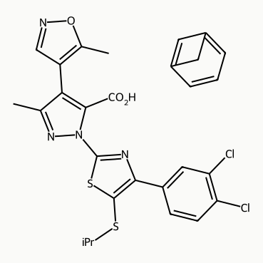 Cc1nn(-c2nc(-c3ccc(Cl)c(Cl)c3)c(SC(C)C)s2)c(C(=O)O)c1-c1cnoc1C.c1cc2cc(c1)C2